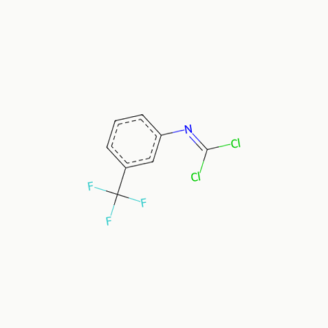 FC(F)(F)c1cccc(N=C(Cl)Cl)c1